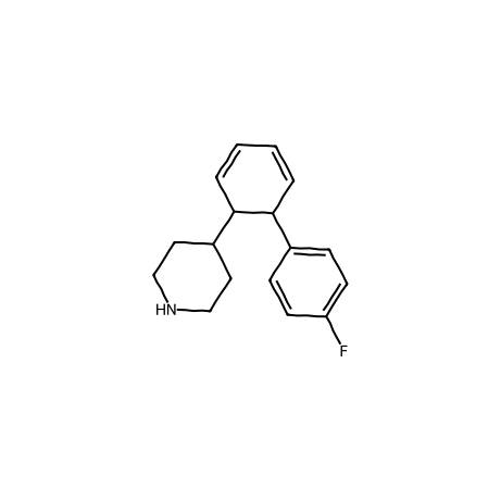 Fc1ccc(C2C=CC=CC2C2CCNCC2)cc1